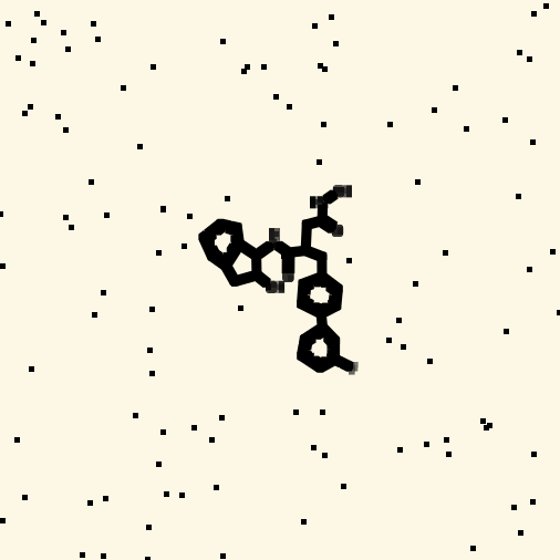 O=C(CC(Cc1ccc(-c2cccc(F)c2)cc1)C(=O)NC1c2ccccc2CC1O)NO